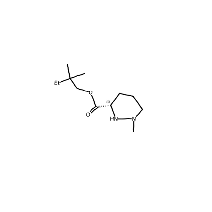 CCC(C)(C)COC(=O)[C@@H]1CCCN(C)N1